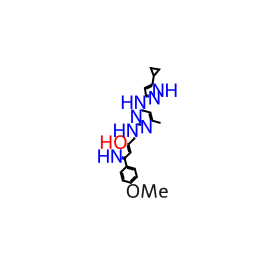 COc1ccc(C(=N)/C=C(\O)CNc2nc(C)cc(Nc3cc(C4CC4)[nH]n3)n2)cc1